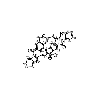 O=c1c2cc3c4c5c(cc6c7c(cc8c(c9c(cc(c2c49)c2nc4ccccc4n12)S8(=O)=O)c57)c(=O)n1c2ccccc2nc61)OC3